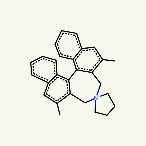 Cc1cc2ccccc2c2c1C[N+]1(CCCC1)Cc1c(C)cc3ccccc3c1-2